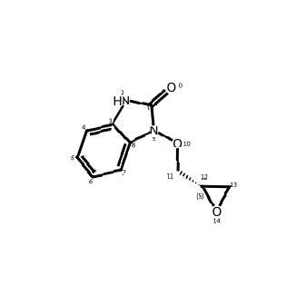 O=c1[nH]c2ccccc2n1OC[C@@H]1CO1